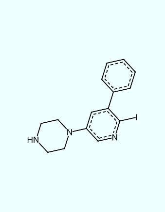 Ic1ncc(N2CCNCC2)cc1-c1ccccc1